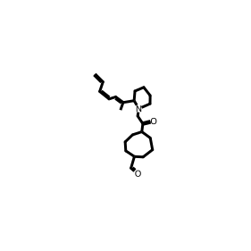 C=C/C=C\C=C(/C)C1CCCCN1CC(=O)C1CCCC(C=O)CCC1